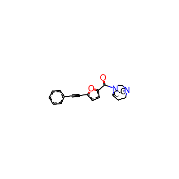 O=C(c1ccc(C#Cc2ccccc2)o1)N1CCN2CCC1CC2